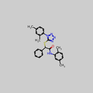 Cc1ccc(-n2nnnc2SC(C(=O)Nc2cc(C)ccc2C)c2ccccc2)c(C)c1